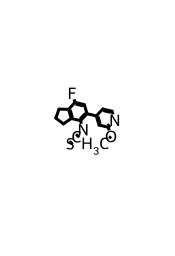 COc1cc(-c2cc(F)c3c(c2N=C=S)CCC3)ccn1